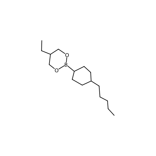 CCCCCC1CCC(B2OCC(CC)CO2)CC1